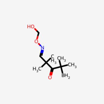 BC(C)(C)C(=O)C(C)(C)C=NOCO